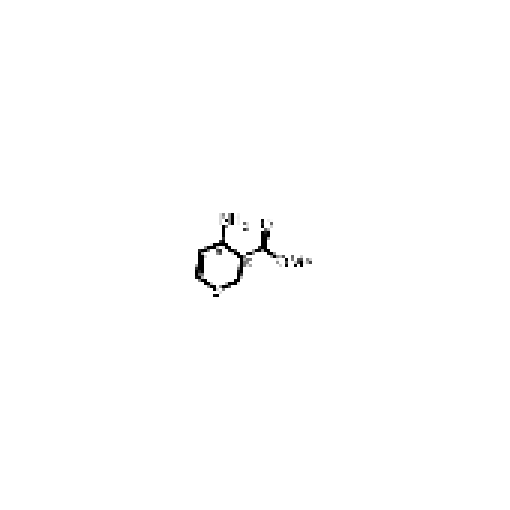 COC(=O)[C@H]1CSC=C[C@H]1N